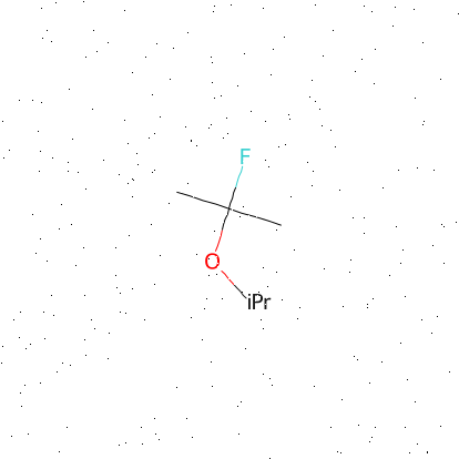 CC(C)OC(C)(C)F